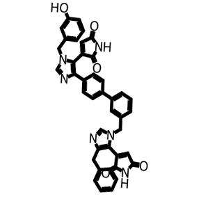 O=C1C=C(c2c(Cc3ccccc3)ncn2Cc2cccc(-c3ccc(-c4ncn(Cc5cccc(O)c5)c4C4=CC(=O)NC4=O)cc3)c2)C(=O)N1